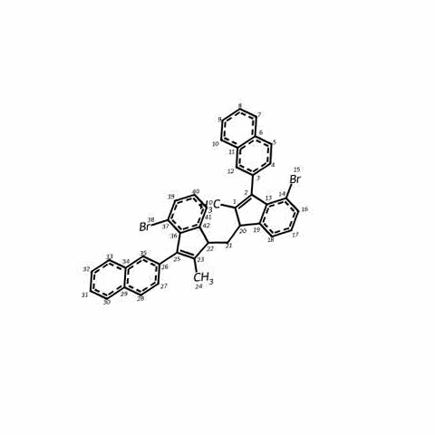 CC1=C(c2ccc3ccccc3c2)c2c(Br)cccc2C1CC1C(C)=C(c2ccc3ccccc3c2)c2c(Br)cccc21